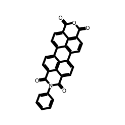 O=C1OC(=O)c2ccc3c4ccc5c6c(ccc(c7ccc1c2c73)c64)C(=O)N(c1ccccc1)C5=O